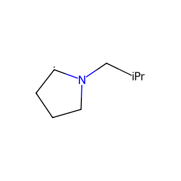 CC(C)CN1[CH]CCC1